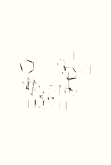 COc1cc(Cl)cc(C(=O)N2CCN(C(=O)c3nnn(-c4ccccc4)n3)C(C)(C)C2)n1